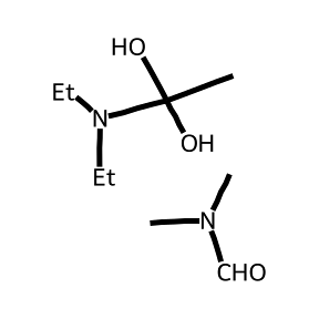 CCN(CC)C(C)(O)O.CN(C)C=O